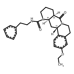 CCOc1ccc2c(c1)CCN1C(=O)[C@@H]3CCCN(C(=O)NCCc4ccccc4)[C@@H]3C[C@@H]21